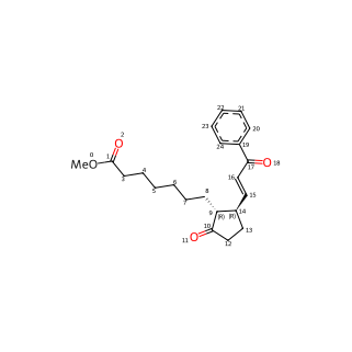 COC(=O)CCCCCC[C@H]1C(=O)CC[C@@H]1C=CC(=O)c1ccccc1